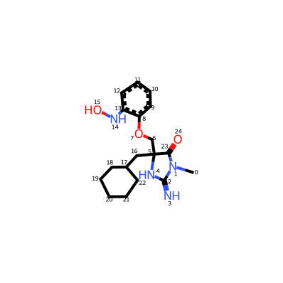 CN1C(=N)NC(COc2ccccc2NO)(CC2CCCCC2)C1=O